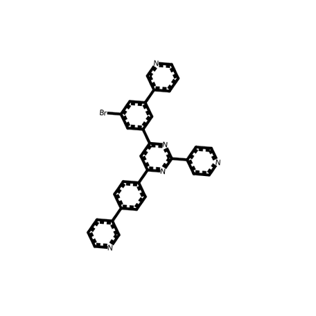 Brc1cc(-c2cccnc2)cc(-c2cc(-c3ccc(-c4cccnc4)cc3)nc(-c3ccncc3)n2)c1